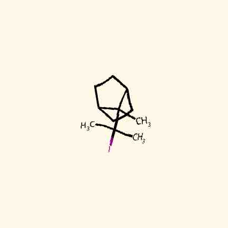 CC(C)(I)C1(C)C2CCC1CC2